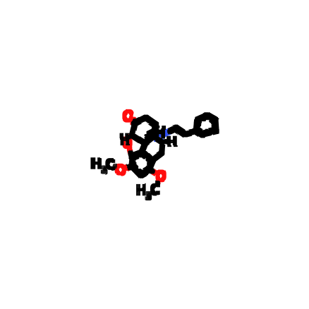 COc1cc(OC)c2c3c1C[C@@H]1[C@@H]4CCC(=O)[C@H](O2)[C@]34CCN1CCc1ccccc1